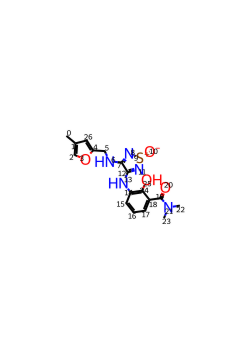 Cc1coc(CNc2n[s+]([O-])nc2Nc2cccc(C(=O)N(C)C)c2O)c1